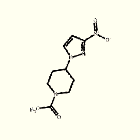 CC(=O)N1CCC(n2ccc([N+](=O)[O-])n2)CC1